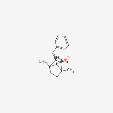 CC12CCC(C=O)(C(=Cc3ccccc3)C1=O)C2(C)C